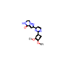 CCOc1cc(-c2nccc(-c3cc4n(n3)CCNC4=O)n2)ccc1OC(C)C